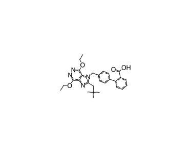 CCOc1nnc(OCC)c2c1nc(CC(C)(C)C)n2Cc1ccc(-c2ccccc2C(=O)O)cc1